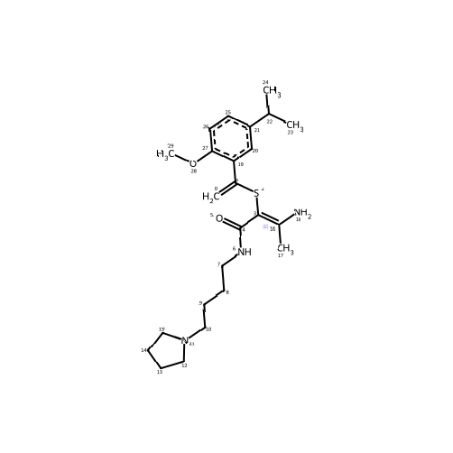 C=C(S/C(C(=O)NCCCCN1CCCC1)=C(/C)N)c1cc(C(C)C)ccc1OC